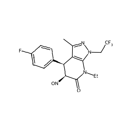 CCN1C(=O)[C@@H](N=O)[C@@H](c2ccc(F)cc2)c2c(C)nn(CC(F)(F)F)c21